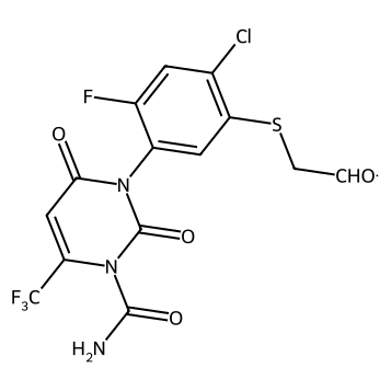 NC(=O)n1c(C(F)(F)F)cc(=O)n(-c2cc(SC[C]=O)c(Cl)cc2F)c1=O